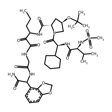 CCCC(NC(=O)[C@@H]1C[C@@H](OC(C)(C)C)CN1C(=O)[C@@H](NC(=O)[C@@H](NS(C)(=O)=O)C(C)C)C1CCCCC1)C(=O)C(=O)NCC(=O)NC(C(N)=O)c1cccc2c1OCO2